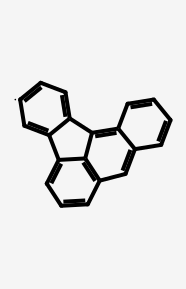 [c]1ccc2c(c1)-c1cccc3cc4ccccc4c-2c13